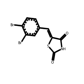 O=C1NC(=O)C(=Cc2ccc(Br)c(Br)c2)S1